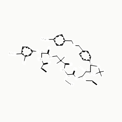 C=CC[C@H](OC(=O)[C@H](CC(C)C)NC(=O)C(C)(C)CNC(=O)[C@@H](Cc1ccc(OC)c(Cl)c1)NC(=O)C=C)[C@H](C)[C@H]1OC(C)(C)O[C@@H]1c1ccc(COCc2ccc(OC)cc2)cc1